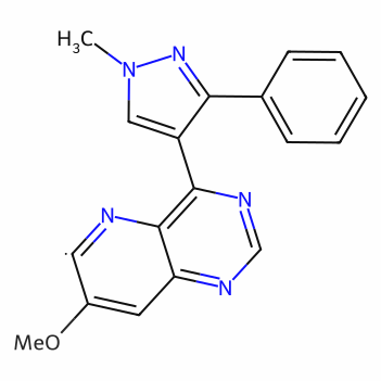 COc1[c]nc2c(-c3cn(C)nc3-c3ccccc3)ncnc2c1